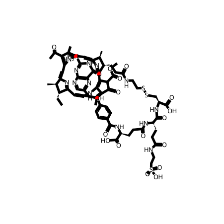 CC[C@H]1c2cc3[nH]c4c(c3C)C(=O)C(C(=O)OC)c4c3nc(cc4[nH]c(cc(n2)[C@@H]1C)c(C(C)=O)c4C)[C@@H](C)[C@@H]3CCC(=O)NCCSSC[C@H](NC(=O)[C@H](CCC(=O)NCCS(=O)(=O)O)NC(=O)CC[C@H](NC(=O)c1ccc(NCc2cnc3nc(N)[nH]c(=O)c3n2)cc1)C(=O)O)C(=O)O